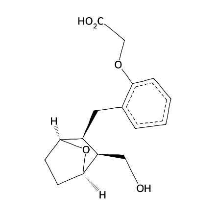 O=C(O)COc1ccccc1C[C@H]1[C@@H](CO)[C@H]2CC[C@@H]1O2